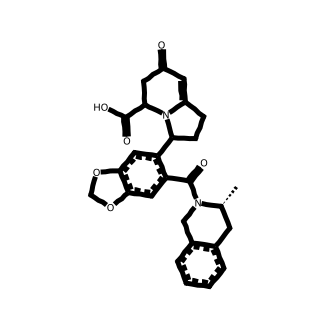 C[C@@H]1Cc2ccccc2CN1C(=O)c1cc2c(cc1C1CCC3=CC(=O)CC(C(=O)O)N31)OCO2